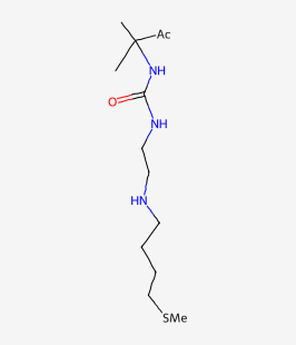 CSCCCCNCCNC(=O)NC(C)(C)C(C)=O